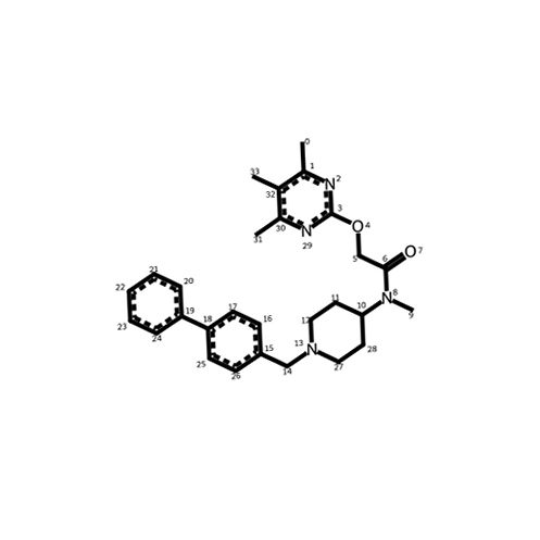 Cc1nc(OCC(=O)N(C)C2CCN(Cc3ccc(-c4ccccc4)cc3)CC2)nc(C)c1C